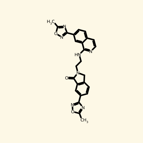 Cc1nc(-c2ccc3c(c2)C(=O)N(CCNc2nccc4ccc(-c5noc(C)n5)cc24)C3)no1